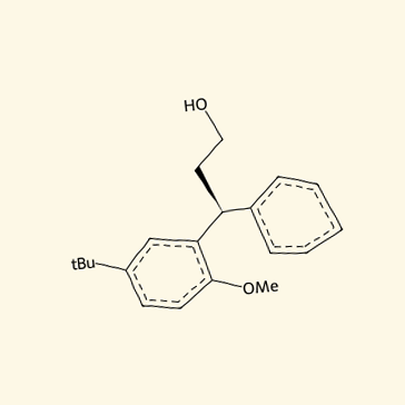 COc1ccc(C(C)(C)C)cc1[C@@H](CCO)c1ccccc1